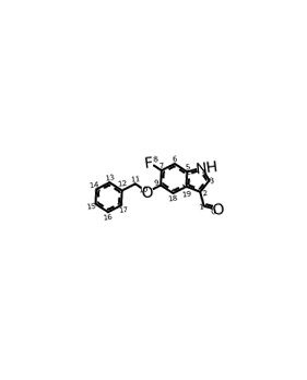 O=Cc1c[nH]c2cc(F)c(OCc3ccccc3)cc12